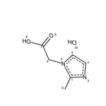 Cc1nccn1CC(=O)O.Cl